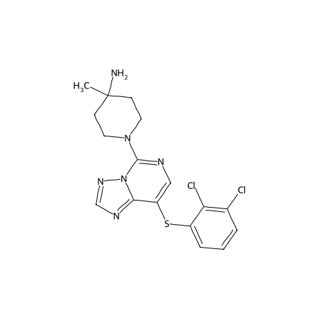 CC1(N)CCN(c2ncc(Sc3cccc(Cl)c3Cl)c3ncnn23)CC1